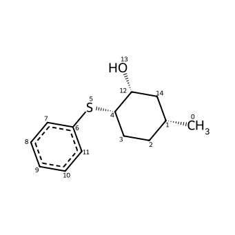 C[C@@H]1CC[C@H](Sc2ccccc2)[C@H](O)C1